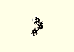 N#Cc1cccc(CNc2cccc3c2CN([C@H]2CCC(=O)NC2=O)C3=O)c1F